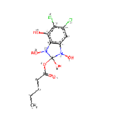 CCCCC(=O)OC1(O)N(O)c2cc(Cl)c(Cl)c(O)c2N1O